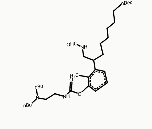 CCCCCCCCCCCCCCCCC(CNC=O)c1cccc(OC(=O)NCCN(CCCC)CCCC)c1C